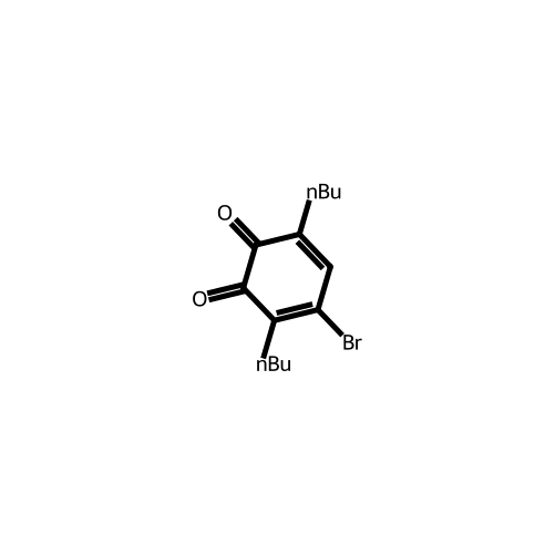 CCCCC1=CC(Br)=C(CCCC)C(=O)C1=O